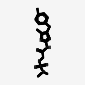 Cc1ccc(Cc2sc(NC(=O)COS(=O)(=O)N(C)C)nc2C)cc1